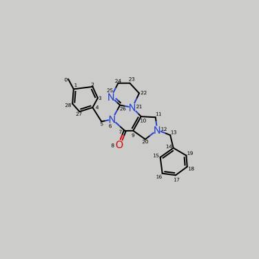 Cc1ccc(CN2C(=O)C3=C(CN(Cc4ccccc4)C3)N3CCCN=C23)cc1